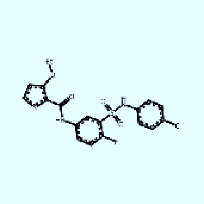 CCOc1ccsc1C(=O)Nc1ccc(F)c(S(=O)(=O)Nc2ccc(Cl)cc2)c1